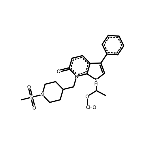 CC(OC=O)[SH]1C=C(c2ccccc2)c2ccc(=O)n(CC3CCN(S(C)(=O)=O)CC3)c21